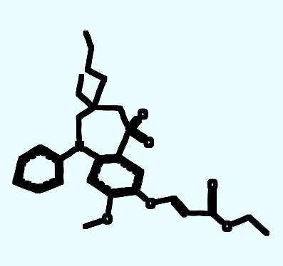 CCCCC1(CC)CN(c2ccccc2)c2cc(OC)c(O/C=C/C(=O)OCC)cc2S(=O)(=O)C1